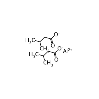 CC(C)CC(=O)[O-].CC(C)CC(=O)[O-].[Al+2]